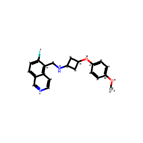 Fc1ccc2cnccc2c1CNC1CC(Oc2ccc(OC(F)(F)F)cc2)C1